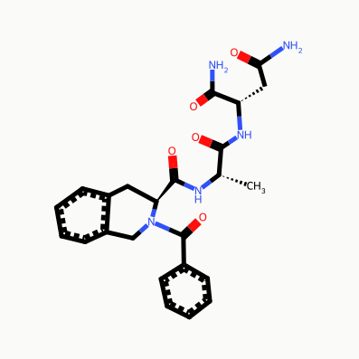 C[C@H](NC(=O)[C@@H]1Cc2ccccc2CN1C(=O)c1ccccc1)C(=O)N[C@@H](CC(N)=O)C(N)=O